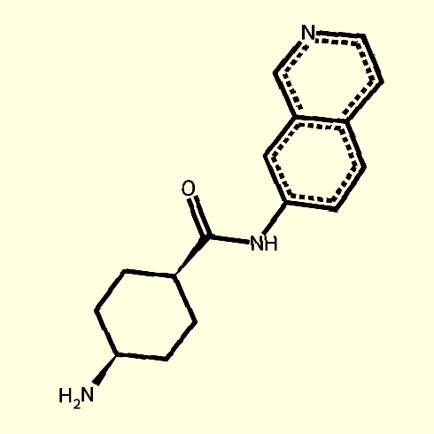 N[C@H]1CC[C@@H](C(=O)Nc2ccc3ccncc3c2)CC1